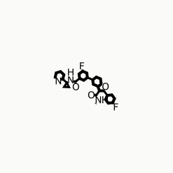 CNC(=O)c1c(-c2ccc(F)cc2)oc2ccc(-c3cc(F)cc(C(=O)NC4(c5ccccn5)CC4)c3)cc12